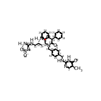 Cc1cnc(NCc2ccc(CN(C(=O)C(c3ccccc3)c3ccccc3)[C@H](CCCNC(N)=N[N+](=O)[O-])C(N)=O)cc2)[nH]c1=O